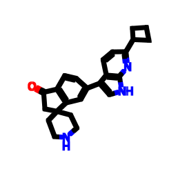 O=C1CC2(CCNCC2)c2cc(-c3c[nH]c4nc(C5CCC5)ccc34)ccc21